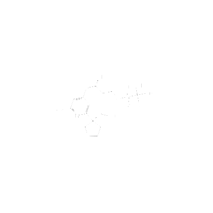 CO[C@@]1(c2cc(O[C@@H](C)CCO[Si](C)(C)C(C)(C)C)cc(Cl)n2)CCOC1